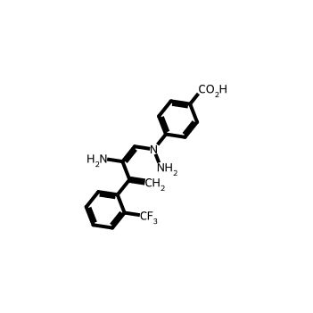 C=C(/C(N)=C\N(N)c1ccc(C(=O)O)cc1)c1ccccc1C(F)(F)F